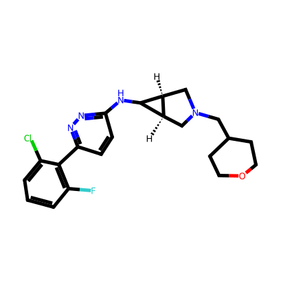 Fc1cccc(Cl)c1-c1ccc(NC2[C@H]3CN(CC4CCOCC4)C[C@@H]23)nn1